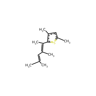 CC(C)=C/C(C)=C(\C)c1sc(C)cc1C